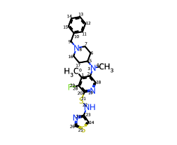 Cc1c(N(C)C2CCN(Cc3ccccc3)CC2)cnc(SNc2cscn2)c1F